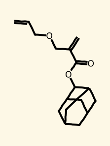 C=CCOCC(=C)C(=O)OC1C2CC3CC(C2)CC1C3